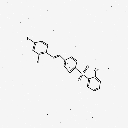 CC(=O)c1ccccc1S(=O)(=O)c1ccc(/C=C/c2ccc(F)cc2F)cc1